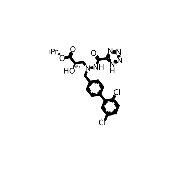 CC(C)OC(=O)[C@H](O)CN(Cc1ccc(-c2cc(Cl)ccc2Cl)cc1)NC(=O)c1nnn[nH]1